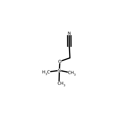 C[Si](C)(C)OCC#N